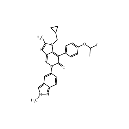 Cc1nc2nn(-c3ccc4nn(C)cc4c3)c(=O)c(-c3ccc(OC(F)F)cc3)c2n1CC1CC1